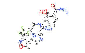 NC(=O)c1ccc(Nc2nccn3c(-c4conc4C(F)(F)F)cnc23)cc1O